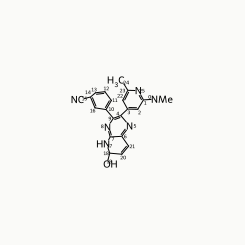 CNc1cc(-c2nc3c(nc2-c2cccc(C#N)c2)NC(O)C=C3)cc(C)n1